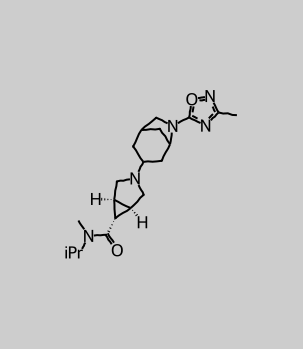 Cc1noc(N2CC3CC(N4C[C@@H]5[C@H](C4)[C@H]5C(=O)N(C)C(C)C)CC2C3)n1